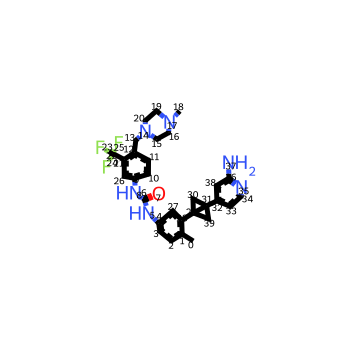 Cc1ccc(NC(=O)Nc2ccc(CN3CCN(C)CC3)c(C(F)(F)F)c2)cc1C12CC1(c1ccnc(N)c1)C2